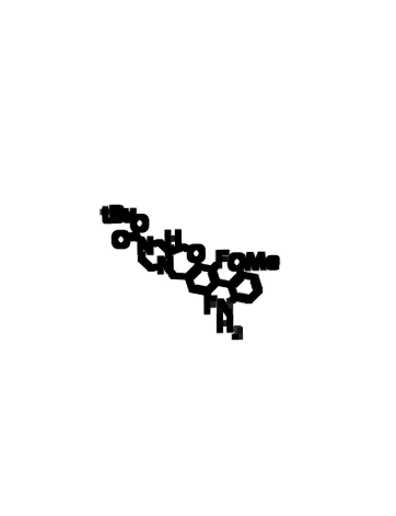 COc1cccc(N)c1-c1c(F)cc2c(c1F)OC[C@H]1CN(C(=O)OC(C)(C)C)CCN1C2